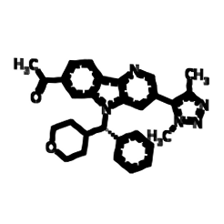 CC(=O)c1ccc2c3ncc(-c4c(C)nnn4C)cc3n([C@H](c3ccccc3)C3CCOCC3)c2c1